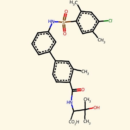 Cc1cc(S(=O)(=O)Nc2cccc(-c3ccc(C(=O)NC(C(=O)O)C(C)(C)O)c(C)c3)c2)c(C)cc1Cl